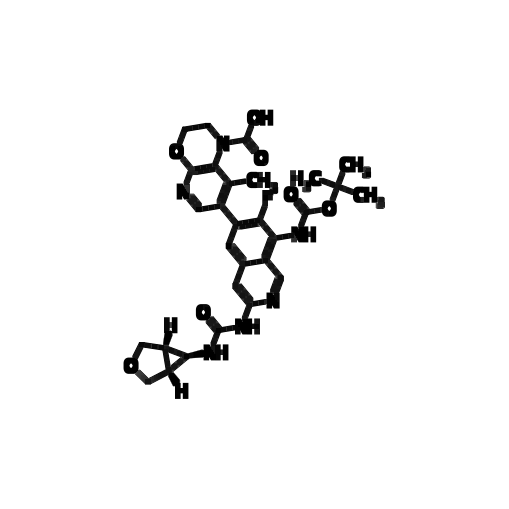 Cc1c(-c2cc3cc(NC(=O)N[C@H]4[C@@H]5COC[C@@H]54)ncc3c(NC(=O)OC(C)(C)C)c2F)cnc2c1N(C(=O)O)CCO2